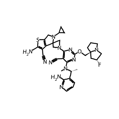 C[C@H](c1cccnc1N)N(C)c1nc(OC[C@@]23CCCN2C[C@H](F)C3)nc(N2CC3(C2)c2c(sc(N)c2C#N)CN3C2CC2)c1C#N